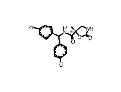 C[C@@]1(C(=O)NC(c2ccc(Cl)cc2)c2ccc(Cl)cc2)CNC(=O)O1